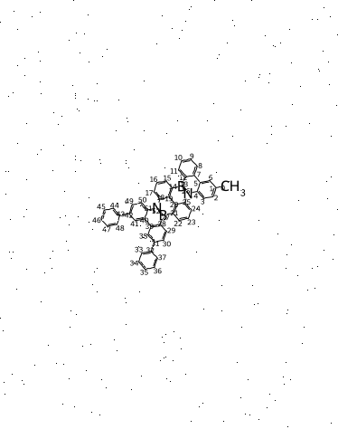 Cc1ccc2c(c1)-c1ccccc1B1c3cccc4c3-c3c(cccc3N12)B1c2ccc(-c3ccccc3)cc2-c2cc(-c3ccccc3)ccc2N14